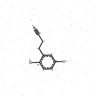 N#CC[CH]c1cc(Cl)ccc1Cl